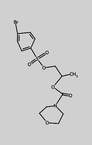 CC(COS(=O)(=O)c1ccc(Br)cc1)OC(=O)N1CCOCC1